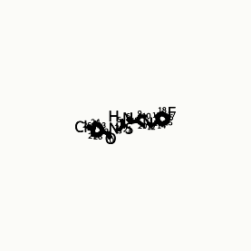 O=C(NCc1cnc(C2CCN(Cc3ccc(F)cc3)C2)s1)c1ccc(Cl)cc1